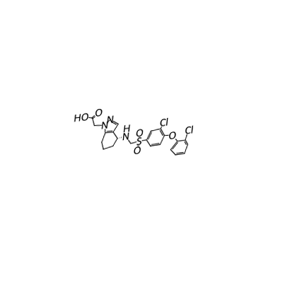 O=C(O)Cn1ncc2c1CCC[C@H]2NCS(=O)(=O)c1ccc(Oc2ccccc2Cl)c(Cl)c1